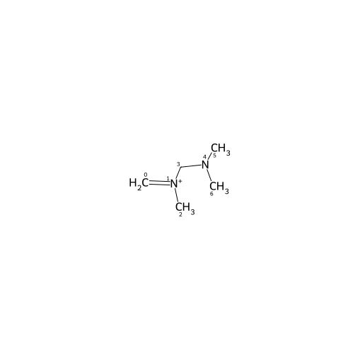 C=[N+](C)CN(C)C